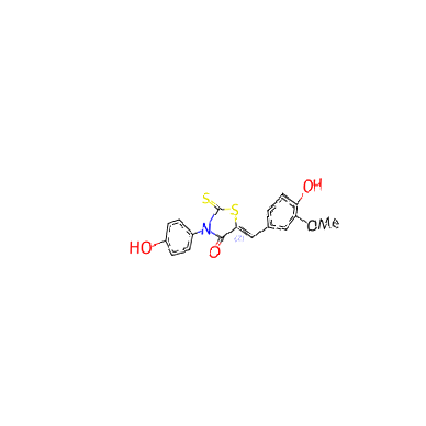 COc1cc(/C=C2\SC(=S)N(c3ccc(O)cc3)C2=O)ccc1O